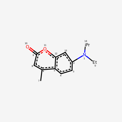 CCN(c1ccc2c(C)cc(=O)oc2c1)C(C)C